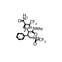 CNC(=O)C(C(CNC(=O)C(F)(F)F)c1ccccc1)[N+]1(C)C=C(C(N)=O)C(C(F)(F)F)=N1